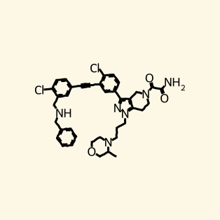 CC1COCCN1CCCn1nc(-c2ccc(Cl)c(C#Cc3ccc(Cl)c(CNCc4ccccc4)c3)c2)c2c1CCN(C(=O)C(N)=O)C2